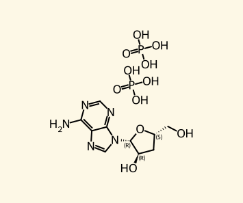 Nc1ncnc2c1ncn2[C@@H]1O[C@H](CO)C[C@H]1O.O=P(O)(O)O.O=P(O)(O)O